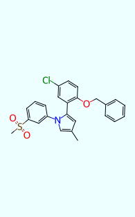 Cc1cc(-c2cc(Cl)ccc2OCc2ccccc2)n(-c2cccc(S(C)(=O)=O)c2)c1